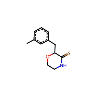 Cc1cccc(CC2OCCNC2=S)c1